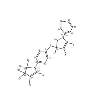 CC1=C(C)C(C)(Cc2ccc(N3C(C)=C(C)C(C)(C)C3(C)C)cc2)CN1c1ccccc1